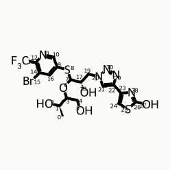 C[C@@H](O)C(CO)OC(Sc1cnc(C(F)(F)F)c(Br)c1)[C@@H](O)Cn1cc(-c2csc(O)n2)nn1